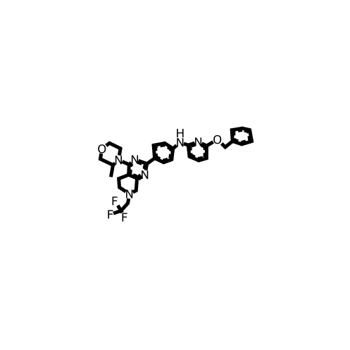 CC1COCCN1c1nc(-c2ccc(Nc3cccc(OCc4ccccc4)n3)cc2)nc2c1CCN(CC(F)(F)F)C2